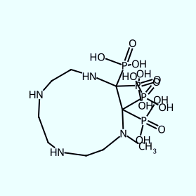 CN1CCNCCNCCNC(P(=O)(O)O)(P(=O)(O)O)C1(P(=O)(O)O)P(=O)(O)O